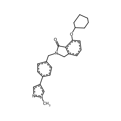 Cn1cc(-c2ccc(CN3Cc4cccc(OC5CCCCC5)c4C3=O)cc2)cn1